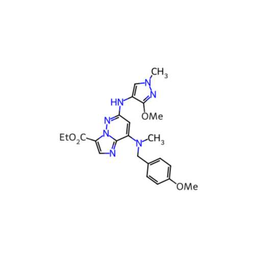 CCOC(=O)c1cnc2c(N(C)Cc3ccc(OC)cc3)cc(Nc3cn(C)nc3OC)nn12